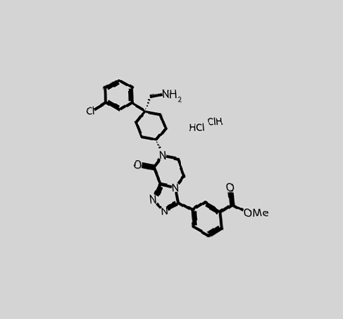 COC(=O)c1cccc(-c2nnc3n2CCN([C@H]2CC[C@](CN)(c4cccc(Cl)c4)CC2)C3=O)c1.Cl.Cl